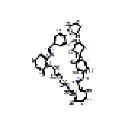 CC1C=CC=C(/C=C/c2ccc(N3CCCC3)cc2)N1CCSSCC[n+]1ccccc1/C=C/c1ccc(N2CCCC2)cc1